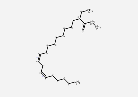 CCCCC/C=C\C/C=C\CCCCCCCCC(CC)C(=O)NN